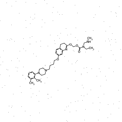 CCN(CNC)C(=O)OCOC1=Nc2cc(OCCCCN3CCN(c4cccc(C)c4C)CC3)ccc2CC1